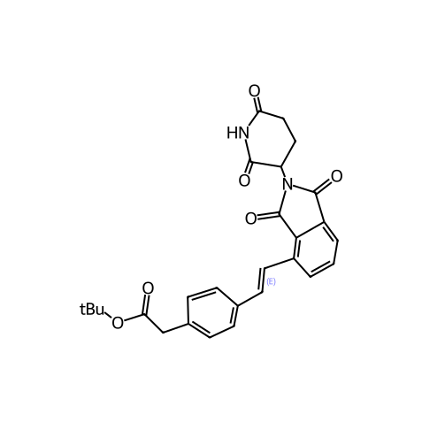 CC(C)(C)OC(=O)Cc1ccc(/C=C/c2cccc3c2C(=O)N(C2CCC(=O)NC2=O)C3=O)cc1